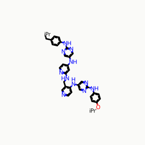 CC(C)Cc1ccc(Nc2ncc(Nc3ccnc(NCc4cnccc4Nc4cnc(Nc5ccc(OC(C)C)cc5)nc4)c3)cn2)cc1